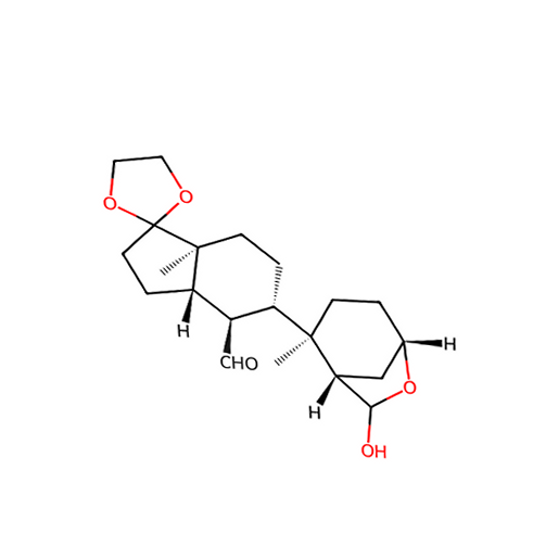 C[C@]1([C@H]2CC[C@@]3(C)[C@@H](CCC34OCCO4)[C@@H]2C=O)CC[C@H]2C[C@@H]1C(O)O2